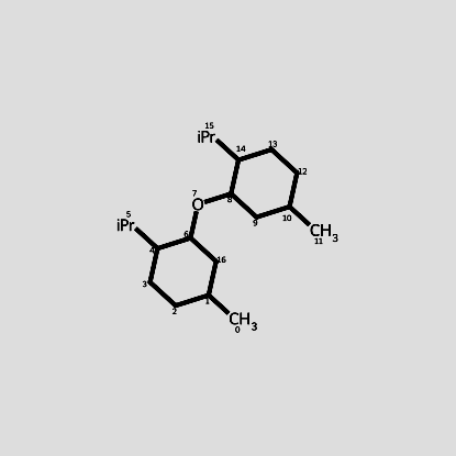 CC1CCC(C(C)C)C(OC2CC(C)CCC2C(C)C)C1